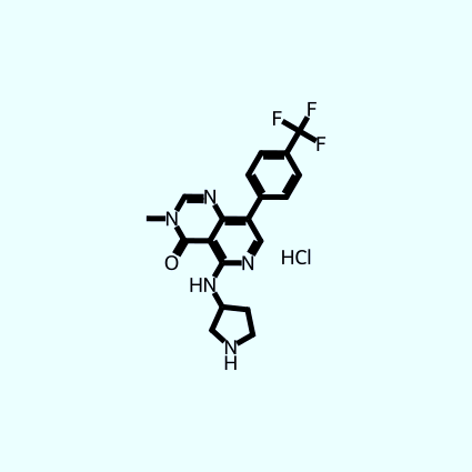 Cl.Cn1cnc2c(-c3ccc(C(F)(F)F)cc3)cnc(NC3CCNC3)c2c1=O